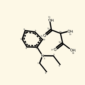 CCN(CC)c1ccccc1.O=C(O)C(O)C(=O)O